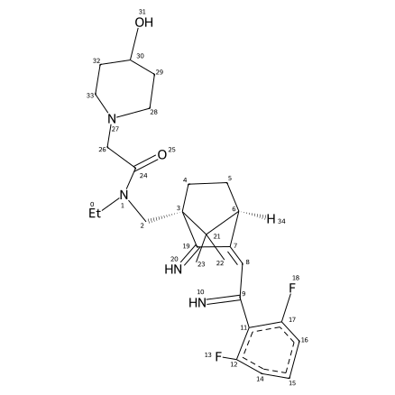 CCN(C[C@@]12CC[C@@H](/C(=C/C(=N)c3c(F)cccc3F)C1=N)C2(C)C)C(=O)CN1CCC(O)CC1